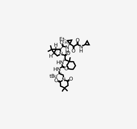 CC[C@@H]1C[C@@]1(NC(=O)[C@@H]1[C@@H]2[C@H](CN1C(=O)[C@@H](NC(=O)N[C@H](CN1C(=O)CC(C)(C)CC1=O)C(C)(C)C)C1(C)CCCCC1)C2(C)C)C(=O)C(=O)NC1CC1